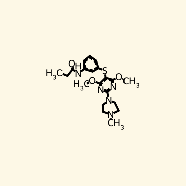 CCC(=O)Nc1cccc(Sc2c(OC)nc(N3CCN(C)CC3)nc2OC)c1